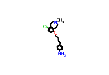 CN1CCc2c(Cl)ccc(OCCCCc3ccc(N)cc3)c2CC1